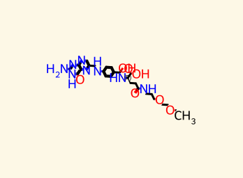 CCOCCOCCCNC(=O)CC[C@@H](NC(O)c1ccc(NCc2cnc3nc(N)[nH]c(=O)c3n2)cc1)C(=O)O